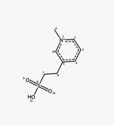 C[n+]1cccc(CCS(=O)(=O)O)c1